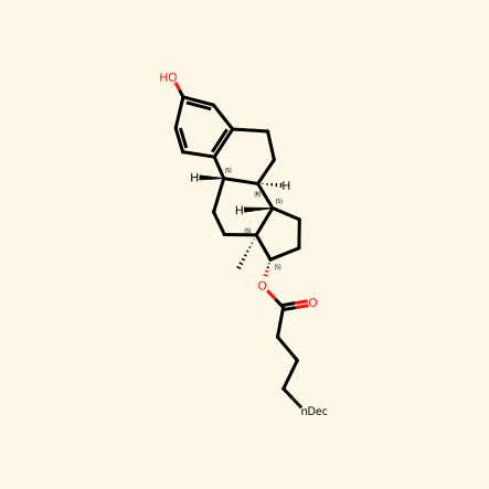 CCCCCCCCCCCCCC(=O)O[C@H]1CC[C@H]2[C@@H]3CCc4cc(O)ccc4[C@H]3CC[C@]12C